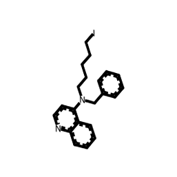 ICCCCCN(Cc1ccccc1)c1ccnc2ccccc12